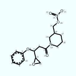 O=C(CC(Oc1ccccc1)C1CO1)N1CCCC(CO[N+](=O)[O-])C1